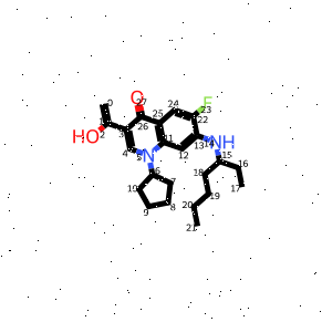 C=C(O)c1cn(C2CCCC2)c2cc(NC(CC)CCCC)c(F)cc2c1=O